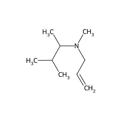 C=CCN(C)C(C)C(C)C